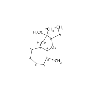 CCC(OC1CCCCCC1C)C(C)(C)C